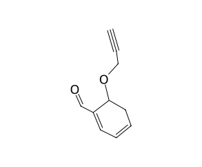 C#CCOC1CC=CC=C1C=O